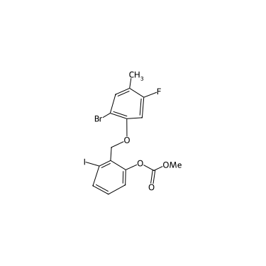 COC(=O)Oc1cccc(I)c1COc1cc(F)c(C)cc1Br